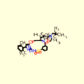 Cc1cccc(C)c1-c1cc2nc(n1)NS(=O)(=O)c1cccc(c1)C(=O)N(C[C@@H]1CN(CC(C)(C)C)CCO1)[C@H](CC(C)(C)C)CO2